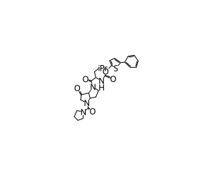 CC(C)CC(NC(=O)Oc1ccc(-c2ccccc2)s1)C(=O)N1CCC2C1C(=O)CN2C(=O)N1CCCC1